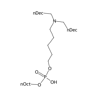 CCCCCCCCCCCN(CCCCCCCCCCC)CCCCCOP(=O)(O)OCCCCCCCC